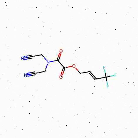 N#CCN(CC#N)C(=O)C(=O)OC/C=C/C(F)(F)F